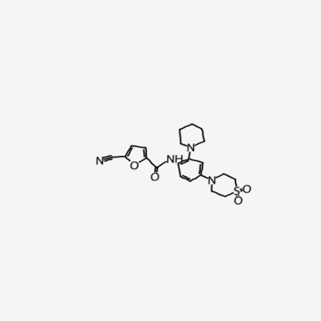 N#Cc1ccc(C(=O)Nc2ccc(N3CCS(=O)(=O)CC3)cc2N2CCCCC2)o1